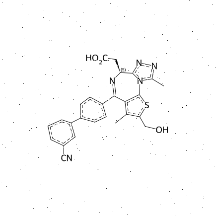 Cc1c(CO)sc2c1C(c1ccc(-c3cccc(C#N)c3)cc1)=N[C@@H](CC(=O)O)c1nnc(C)n1-2